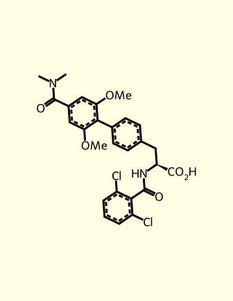 COc1cc(C(=O)N(C)C)cc(OC)c1-c1ccc(C[C@H](NC(=O)c2c(Cl)cccc2Cl)C(=O)O)cc1